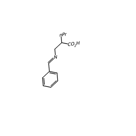 CCCC(C/N=C/c1ccccc1)C(=O)O